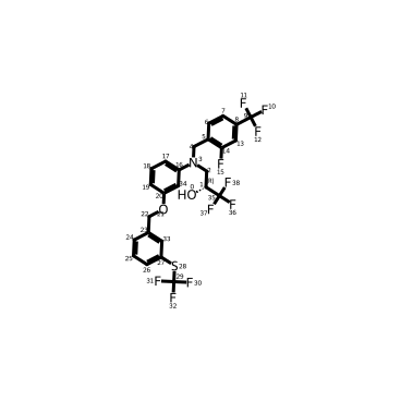 O[C@H](CN(Cc1ccc(C(F)(F)F)cc1F)c1cccc(OCc2cccc(SC(F)(F)F)c2)c1)C(F)(F)F